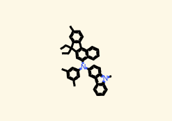 CCC1(CC)c2cc(C)ccc2-c2c1cc(N(c1cc(C)cc(C)c1)c1ccc3c(c1)c1ccccc1n3C)c1ccccc21